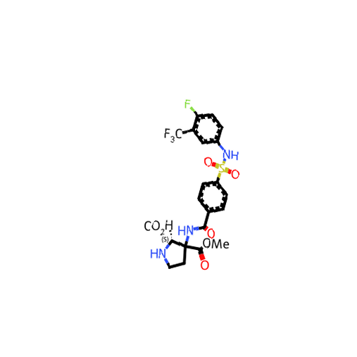 COC(=O)C1(NC(=O)c2ccc(S(=O)(=O)Nc3ccc(F)c(C(F)(F)F)c3)cc2)CCN[C@@H]1C(=O)O